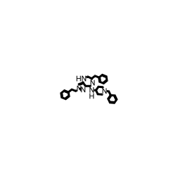 c1ccc(CCn2cc3c(n2)C(NC2CCN(Cc4ccccc4)CC2)=NC(Cc2ccccc2)CN3)cc1